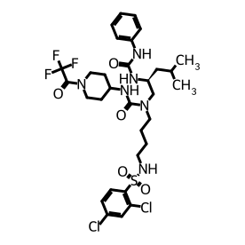 CC(C)C[C@@H](CN(CCCCNS(=O)(=O)c1ccc(Cl)cc1Cl)C(=O)NC1CCN(C(=O)C(F)(F)F)CC1)NC(=O)Nc1ccccc1